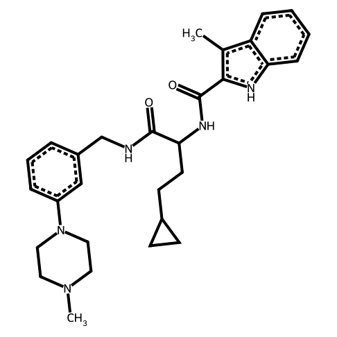 Cc1c(C(=O)NC(CCC2CC2)C(=O)NCc2cccc(N3CCN(C)CC3)c2)[nH]c2ccccc12